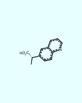 C[C@H](C(=O)O)c1ccc2ncccc2c1